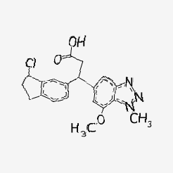 COc1cc(C(CC(=O)O)c2ccc3c(c2)C(Cl)CC3)cc2nnn(C)c12